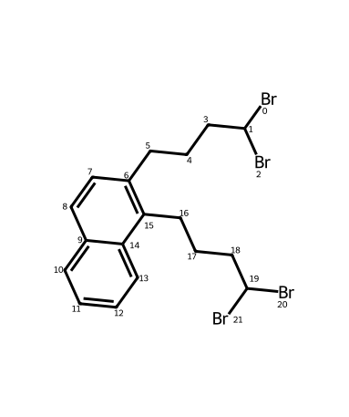 BrC(Br)CCCc1ccc2ccccc2c1CCCC(Br)Br